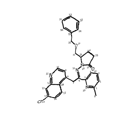 Cc1cccc(C(Cc2ccnc3cc(Cl)ccc23)=NN2C(=O)CCC2COCc2ccccc2)n1